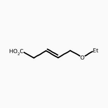 CCOCC=CCC(=O)O